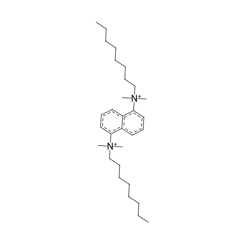 CCCCCCCC[N+](C)(C)c1cccc2c([N+](C)(C)CCCCCCCC)cccc12